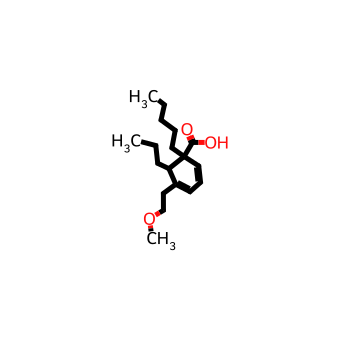 CCCCCC1(C(=O)O)C=CC=C(CCOC)C1CCC